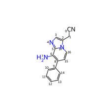 N#CCc1cnc2c(N)c(-c3ccccc3)ccn12